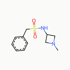 CN1CC(NS(=O)(=O)Cc2ccccc2)C1